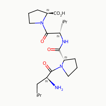 CC(C)C[C@H](N)C(=O)N1CCC[C@H]1C(=O)N[C@H](C(=O)N1CCC[C@H]1C(=O)O)C(C)C